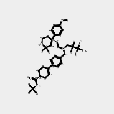 COc1ccc([C@]2(CCN(Cc3ccc(C4=CC[C@@H](C(=O)OC(C)(C)C)CC4)cc3)CC(C)(C)C(F)(F)F)CCOC(C)(C)C2)cc1